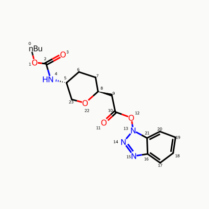 CCCCOC(=O)N[C@@H]1CC[C@@H](CC(=O)On2nnc3ccccc32)OC1